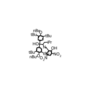 CCCCOc1c(C(C)(C)C)cc(C(O)(c2cc(C(C)(C)C)c(OCCCC)c(C(C)(C)C)c2)C(CC(C)C)N=Cc2cc([N+](=O)[O-])cc([N+](=O)[O-])c2O)cc1C(C)(C)C